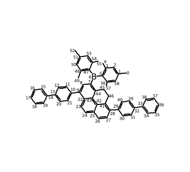 Cc1cc(C)c(B(c2cc(-c3ccc(-c4ccccc4)cc3)c3ccc4ccc(-c5ccc(-c6ccccc6)cc5)c5c4c3c2CC5)c2c(C)cc(C)cc2C)c(C)c1